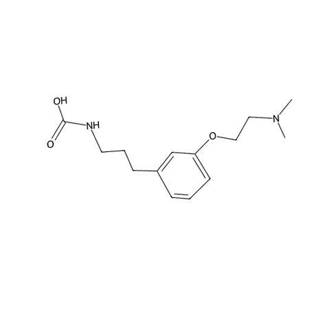 CN(C)CCOc1cccc(CCCNC(=O)O)c1